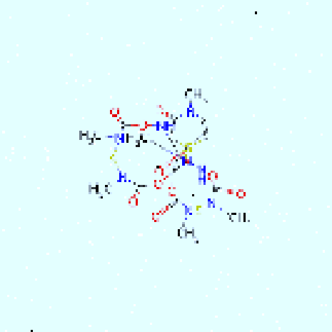 CN1C=CSC2(CC3(OC(=O)N(C)SN(C)C(=O)ON2)OC(=O)N(C)SN(C)C(=O)ONC32SC=CN(C)C2=O)C1=O